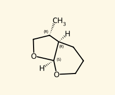 C[C@H]1CO[C@@H]2OCCC[C@@H]21